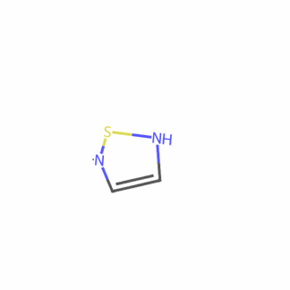 C1=CNS[N]1